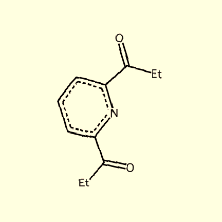 CCC(=O)c1cccc(C(=O)CC)n1